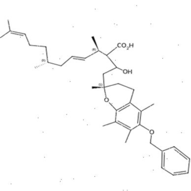 CC(C)=CCC[C@@H](C)CC=C[C@@H](C)C(C(=O)O)C(O)C[C@]1(C)CCc2c(C)c(OCc3ccccc3)c(C)c(C)c2O1